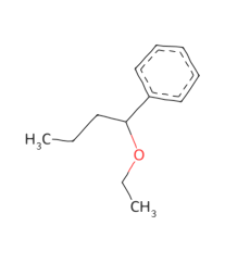 CCCC(OCC)c1ccccc1